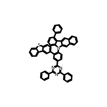 c1ccc(-c2nc(-c3ccccc3)nc(-c3ccc(-n4c5cc6ccccc6cc5c5c(-c6ccccc6)cccc54)c(-c4ccc5sc6ccccc6c5c4)c3)n2)cc1